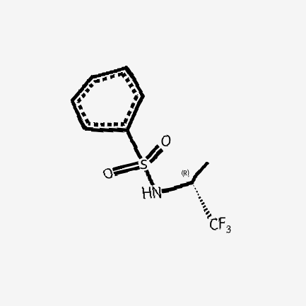 C[C@@H](NS(=O)(=O)c1ccccc1)C(F)(F)F